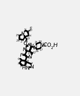 Cc1ccc2[nH]ncc2c1-c1ncc2c(N3CCN(C(=O)O)CC3)nc(OC[C@@]34CCCN3C[C@H](F)C4)nc2c1F